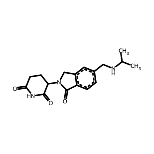 CC(C)NCc1ccc2c(c1)CN(C1CCC(=O)NC1=O)C2=O